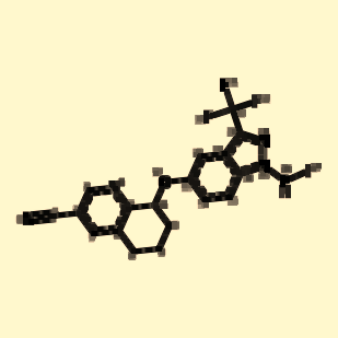 N#Cc1cnc2c(c1)CCCC2Oc1ccc2c(c1)c(C(F)(F)F)nn2PI